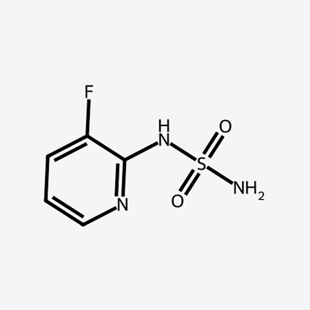 NS(=O)(=O)Nc1ncccc1F